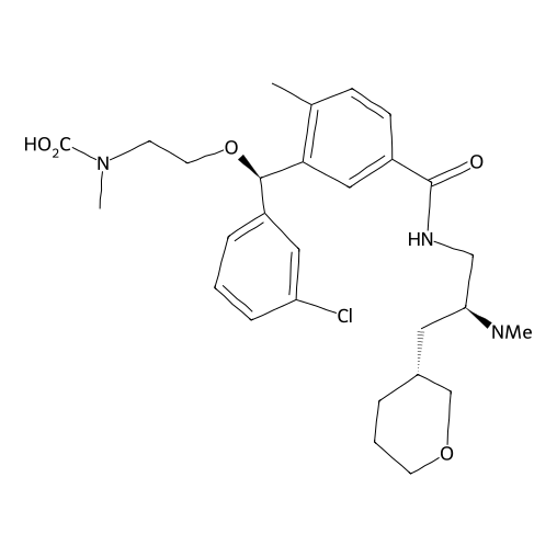 CN[C@H](CNC(=O)c1ccc(C)c([C@H](OCCN(C)C(=O)O)c2cccc(Cl)c2)c1)C[C@H]1CCCOC1